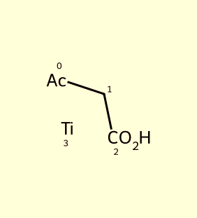 CC(=O)CC(=O)O.[Ti]